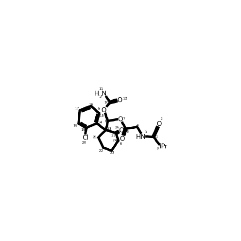 CC(C)C(=O)NCC(=O)OC(OC(N)=O)C1(c2ccccc2Cl)CCCCC1=O